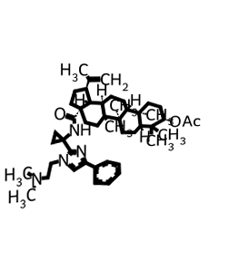 C=C(C)[C@@H]1CC[C@]2(C(=O)NC3(c4nc(-c5ccccc5)cn4CCN(C)C)CC3)CC[C@]3(C)[C@H](CC[C@@H]4[C@@]5(C)CC[C@H](OC(C)=O)C(C)(C)[C@@H]5CC[C@]43C)[C@@H]12